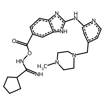 CN1CCN(Cc2ccnc(Nc3nc4ccc(C(=O)ONC(=N)C5CCCC5)cc4[nH]3)c2)CC1